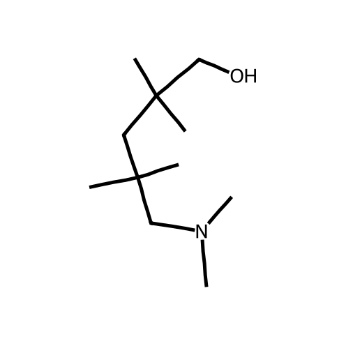 CN(C)CC(C)(C)CC(C)(C)CO